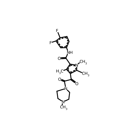 Cc1c(C(=O)C(=O)N2CCN(C)CC2)c(C)n(C)c1C(=O)Nc1ccc(F)c(F)c1